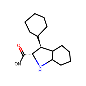 O=NC(=O)[C@H]1NC2CCCCC2[C@@H]1C1CCCCC1